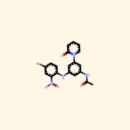 CC(=O)Nc1cc(Nc2ccc(Br)cc2[N+](=O)[O-])cc(-n2ccccc2=O)c1